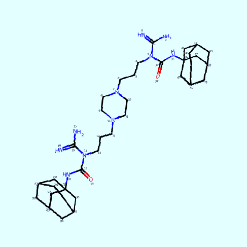 N=C(N)N(CCCN1CCN(CCCN(C(=N)N)C(=O)NC23CC4CC(CC(C4)C2)C3)CC1)C(=O)NC12CC3CC(CC(C3)C1)C2